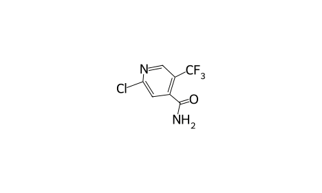 NC(=O)c1cc(Cl)ncc1C(F)(F)F